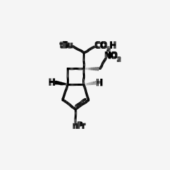 CCCC1=C[C@H]2[C@H](C1)C[C@@]2(C[N+](=O)[O-])C(C(=O)O)C(C)(C)C